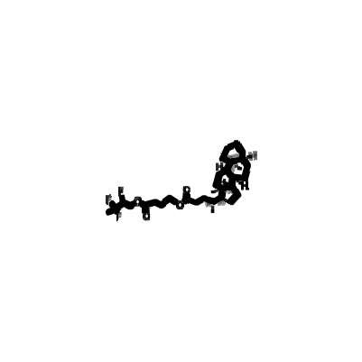 C[C@H](CCC(=O)OCCCC(=O)OCC(F)C(C)(F)F)[C@H]1CC[C@H]2[C@@H]3CC[C@@H]4CCCC[C@]4(C)[C@H]3CC[C@]12C